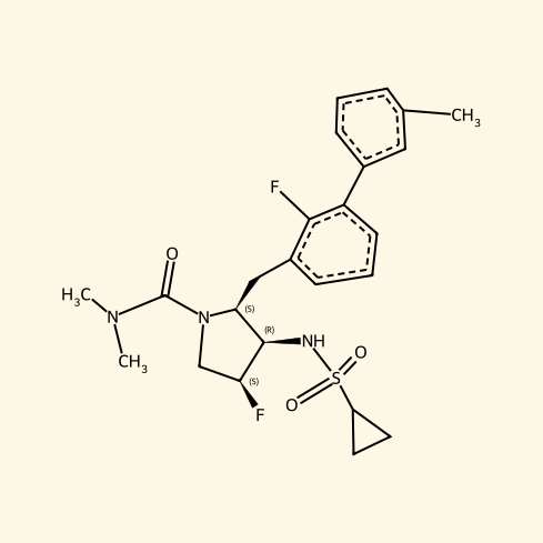 Cc1cccc(-c2cccc(C[C@H]3[C@@H](NS(=O)(=O)C4CC4)[C@@H](F)CN3C(=O)N(C)C)c2F)c1